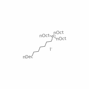 CCCCCCCCCCCCCCCC[P+](CCCCCCCC)(CCCCCCCC)CCCCCCCC.[I-]